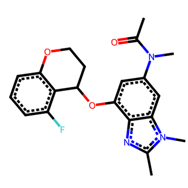 CC(=O)N(C)c1cc(OC2CCOc3cccc(F)c32)c2nc(C)n(C)c2c1